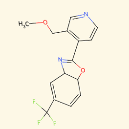 COCc1cnccc1C1=NC2C=C(C(F)(F)F)C=CC2O1